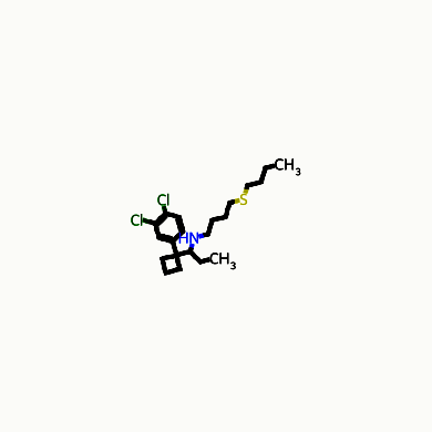 CCCCSCCCCNC(CC)C1(c2ccc(Cl)c(Cl)c2)CCC1